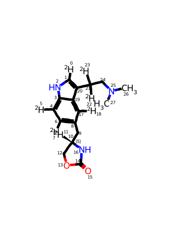 [2H]c1[nH]c2c([2H])c([2H])c(C[C@@]3([2H])COC(=O)N3)c([2H])c2c1C([2H])([2H])CN(C)C